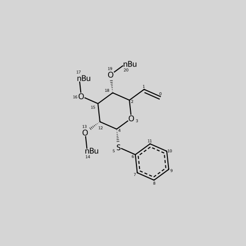 C=CC1O[C@H](Sc2ccccc2)[C@H](OCCCC)C(OCCCC)[C@@H]1OCCCC